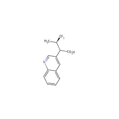 C[C@H](C(C(=O)O)c1cnc2ccccc2c1)C(F)(F)F